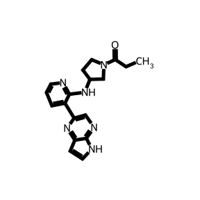 CCC(=O)N1CCC(Nc2ncccc2-c2cnc3[nH]ccc3n2)C1